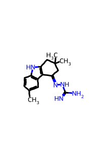 Cc1ccc2[nH]c3c(c2c1)C(=NNC(=N)N)CC(C)(C)C3